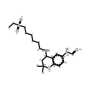 CCS(=O)(=O)CCCCCCNC1CC(C)(C)Oc2ccc(NC=O)cc21